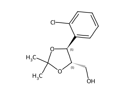 CC1(C)O[C@@H](CO)[C@H](c2ccccc2Cl)O1